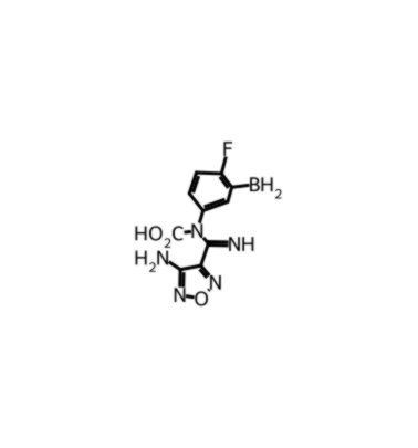 Bc1cc(N(C(=N)c2nonc2N)C(=O)O)ccc1F